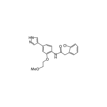 COCCOc1cc(-c2cn[nH]c2)ccc1NC(=O)Cc1ccccc1Cl